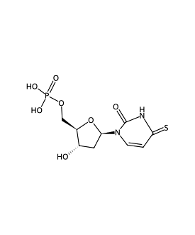 O=c1[nH]c(=S)ccn1[C@H]1C[C@H](O)[C@@H](COP(=O)(O)O)O1